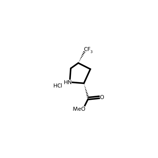 COC(=O)[C@H]1C[C@@H](C(F)(F)F)CN1.Cl